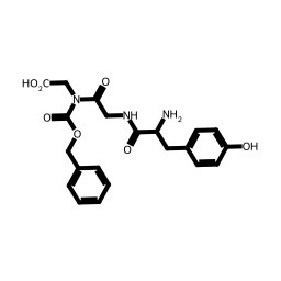 NC(Cc1ccc(O)cc1)C(=O)NCC(=O)N(CC(=O)O)C(=O)OCc1ccccc1